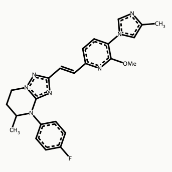 COc1nc(C=Cc2nc3n(n2)CCC(C)N3c2ccc(F)cc2)ccc1-n1cnc(C)c1